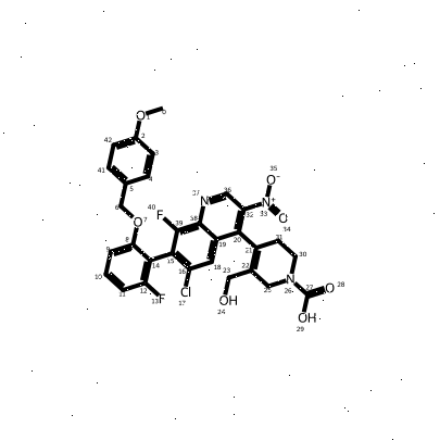 COc1ccc(COc2cccc(F)c2-c2c(Cl)cc3c(C4=C(CO)CN(C(=O)O)CC4)c([N+](=O)[O-])cnc3c2F)cc1